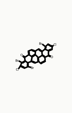 O=c1c2cc(Cl)cc(Br)c2c2cc3ccc4c(=O)c5c(Br)c(Cl)cc(Br)c5c5cc6ccc1c2c6c3c45